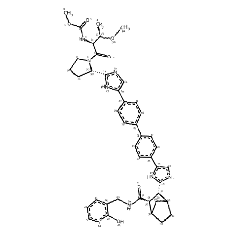 COC(=O)N[C@H](C(=O)N1CCC[C@H]1c1ncc(-c2ccc(-c3ccc(-c4cnc([C@@H]5C6CCC(C6)[C@H]5C(=O)NCc5cccnc5O)[nH]4)cc3)cc2)[nH]1)[C@@H](C)OC